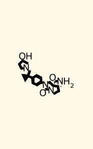 NC(=O)[C@]12[CH]CCN1C(=O)N(c1ccc(C3(CN4CCC(O)C4)CC3)cc1)C2